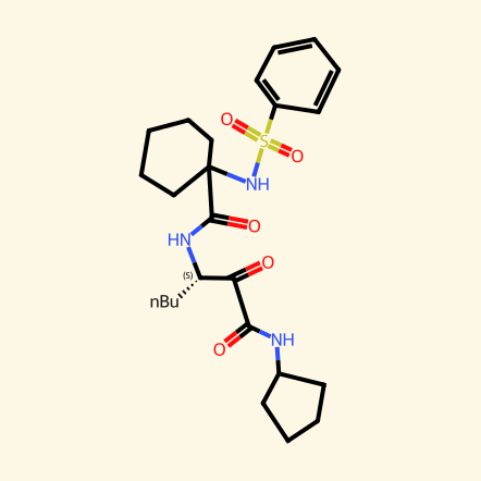 CCCC[C@H](NC(=O)C1(NS(=O)(=O)c2ccccc2)CCCCC1)C(=O)C(=O)NC1CCCC1